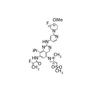 C=C(F)C(=O)Nc1cc(N2C[C@H](CS(C)(=O)=O)[C@H]2C)c2cnc(Nc3ccnc(N4CC[C@@H](OC)[C@@H](F)C4)c3)nc2c1C(C)C